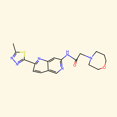 Cc1nnc(-c2ccc3cnc(NC(=O)CN4CCCOCC4)cc3n2)s1